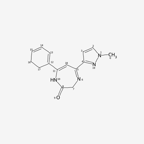 Cn1ccc(C2=NCC(=O)NC(C3=CC=CCC3)=C2)n1